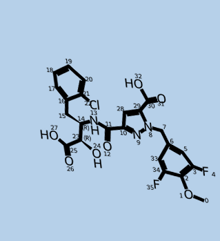 COc1c(F)cc(Cn2nc(C(=O)N[C@H](Cc3ccccc3Cl)[C@@H](O)C(=O)O)cc2C(=O)O)cc1F